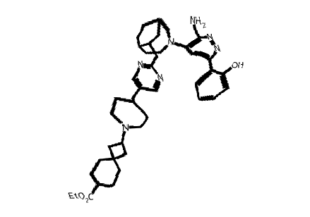 CCOC(=O)C1CCC2(CC1)CC(N1CCC(c3cnc(CC4CC5CCC4CCN(c4cc(-c6ccccc6O)nnc4N)C5)nc3)CC1)C2